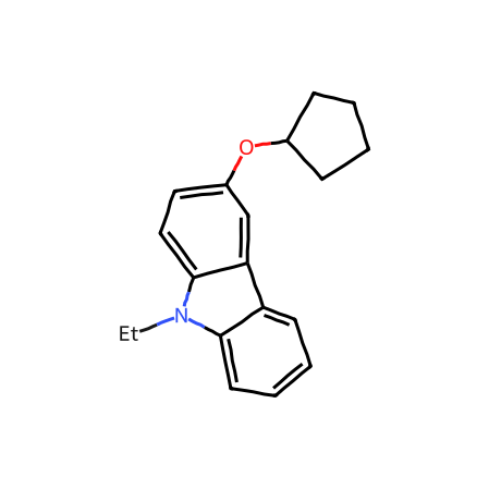 CCn1c2ccccc2c2cc(OC3CCCC3)ccc21